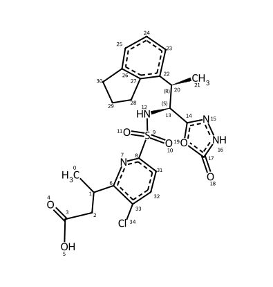 CC(CC(=O)O)c1nc(S(=O)(=O)N[C@H](c2n[nH]c(=O)o2)[C@H](C)c2cccc3c2CCC3)ccc1Cl